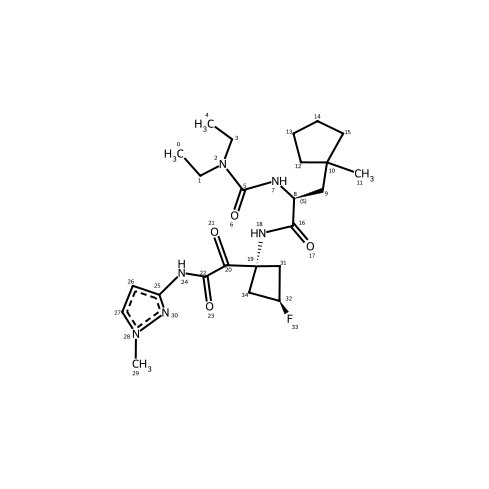 CCN(CC)C(=O)N[C@@H](CC1(C)CCCC1)C(=O)N[C@]1(C(=O)C(=O)Nc2ccn(C)n2)C[C@@H](F)C1